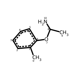 Cc1ccccc1OC(C)N